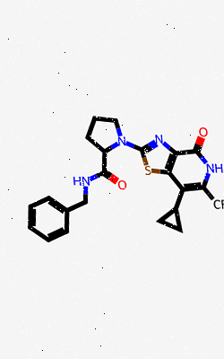 O=C(NCc1ccccc1)C1CCCN1c1nc2c(=O)[nH]c(C(F)(F)F)c(C3CC3)c2s1